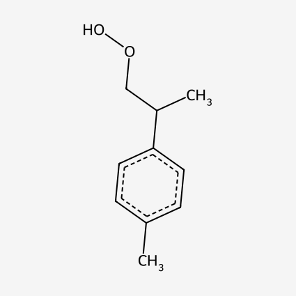 Cc1ccc(C(C)COO)cc1